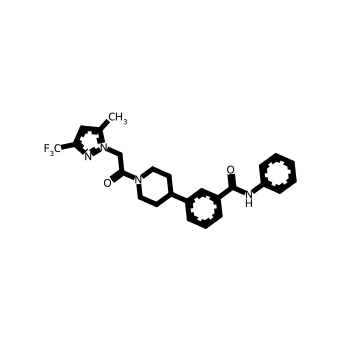 Cc1cc(C(F)(F)F)nn1CC(=O)N1CCC(c2cccc(C(=O)Nc3ccccc3)c2)CC1